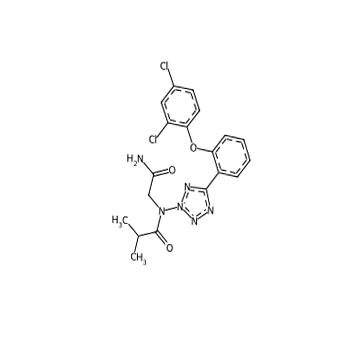 CC(C)C(=O)N(CC(N)=O)n1nnc(-c2ccccc2Oc2ccc(Cl)cc2Cl)n1